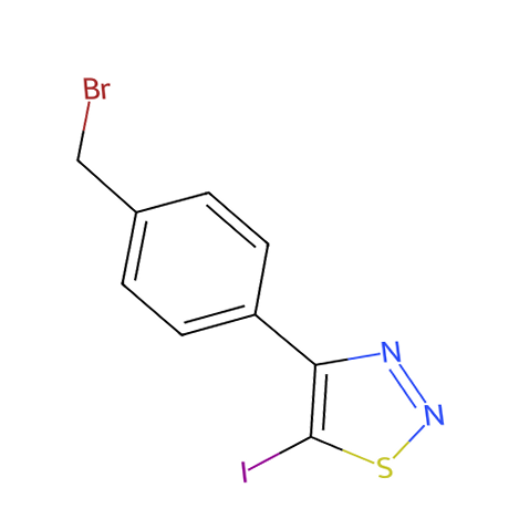 BrCc1ccc(-c2nnsc2I)cc1